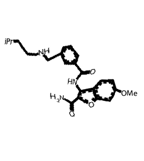 COc1ccc2c(NC(=O)c3cccc(CNCCC(C)C)c3)c(C(N)=O)oc2c1